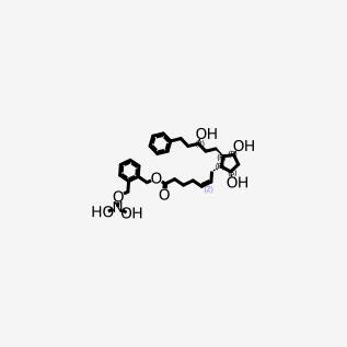 O=C(CCC/C=C\C[C@@H]1[C@@H](CC[C@@H](O)CCc2ccccc2)[C@H](O)C[C@@H]1O)OCc1ccccc1CON(O)O